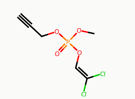 C#CCOP(=O)(OC)OC=C(Cl)Cl